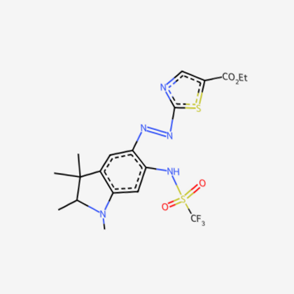 CCOC(=O)c1cnc(N=Nc2cc3c(cc2NS(=O)(=O)C(F)(F)F)N(C)C(C)C3(C)C)s1